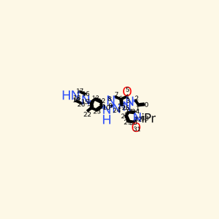 C=CCn1c(=O)c2cnc(Nc3ccc(N4CCNCC4)c(C)c3)nc2n1-c1ccc(=O)n(C(C)C)c1